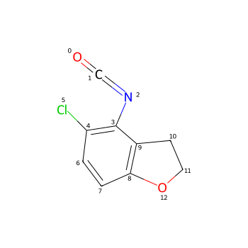 O=C=Nc1c(Cl)ccc2c1CCO2